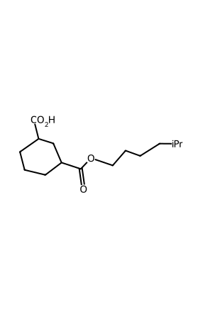 CC(C)CCCCOC(=O)C1CCCC(C(=O)O)C1